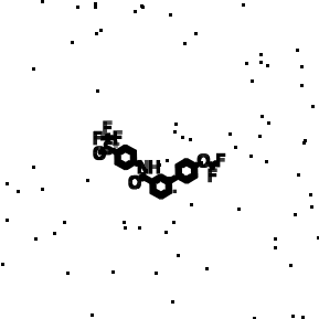 O=C(Nc1ccc([S+]([O-])C(F)(F)F)cc1)c1cc[c]c(-c2ccc(OC(F)F)cc2)c1